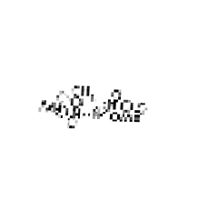 COC(=O)c1ccc(C(=O)N2CC3CN(CCCN(C(=O)C4CCN(C(C)=O)CC4)c4ccc(C)c(Cl)c4)CC3C2)cc1